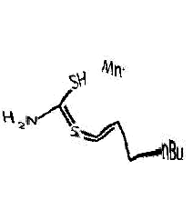 CCCCCC=S=C(N)S.[Mn]